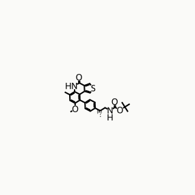 COc1cc(C)c2[nH]c(=O)c3cscc3c2c1-c1ccc([C@@H](C)CNC(=O)OC(C)(C)C)cc1